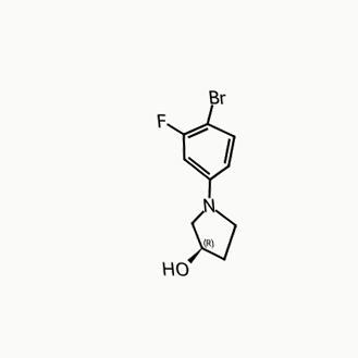 O[C@@H]1CCN(c2ccc(Br)c(F)c2)C1